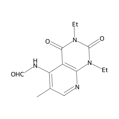 CCn1c(=O)c2c(NC=O)c(C)cnc2n(CC)c1=O